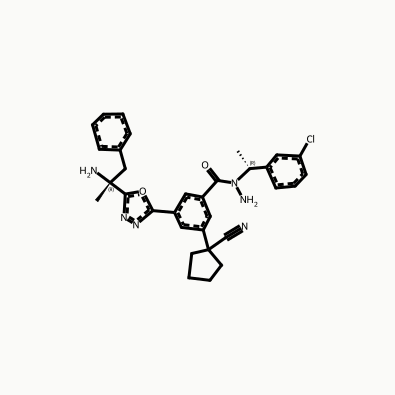 C[C@H](c1cccc(Cl)c1)N(N)C(=O)c1cc(-c2nnc([C@](C)(N)Cc3ccccc3)o2)cc(C2(C#N)CCCC2)c1